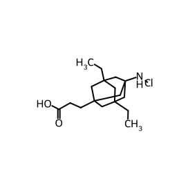 CCC12CC3(CC)CC(CCC(=O)O)(C1)CC(NCl)(C2)C3